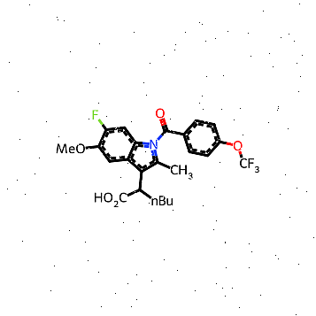 CCCCC(C(=O)O)c1c(C)n(C(=O)c2ccc(OC(F)(F)F)cc2)c2cc(F)c(OC)cc12